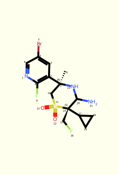 C[C@@]1(c2cc(Br)cnc2F)CS(=O)(=O)[C@@](CF)(C2CC2)C(N)N1